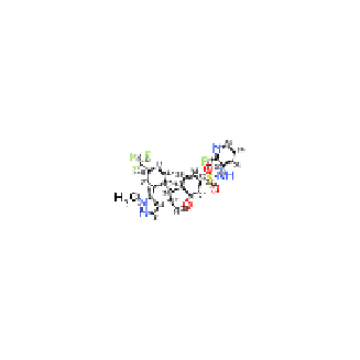 Cn1nccc1-c1cc(C(F)(F)F)ccc1C1CCOc2cc(S(=O)(=O)Nc3cccnc3F)ccc21